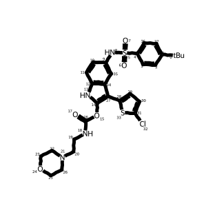 CC(C)(C)c1ccc(S(=O)(=O)Nc2ccc3[nH]c(OC(=O)NCCN4CCOCC4)c(-c4ccc(Cl)s4)c3c2)cc1